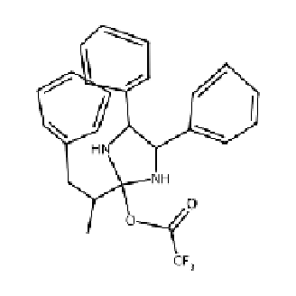 CC(Cc1ccccc1)C1(OC(=O)C(F)(F)F)NC(c2ccccc2)C(c2ccccc2)N1